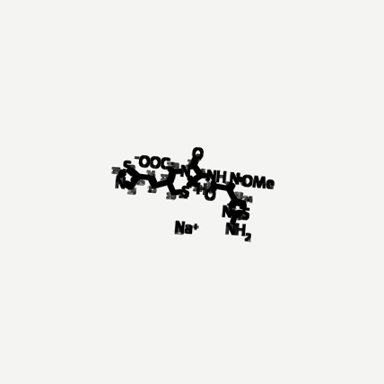 CON=C(C(=O)NC1C(=O)N2C(C(=O)[O-])=C(C=Cc3cncs3)CS[C@@H]12)c1csc(N)n1.[Na+]